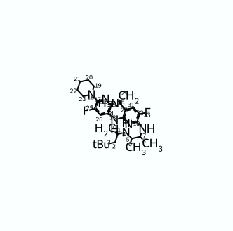 C=C(CC(C)(C)C)NC(C)C(C)Nc1nc(Nc2cnc(N3CCCCC3)c(F)c2)c(C(=C)N)cc1F